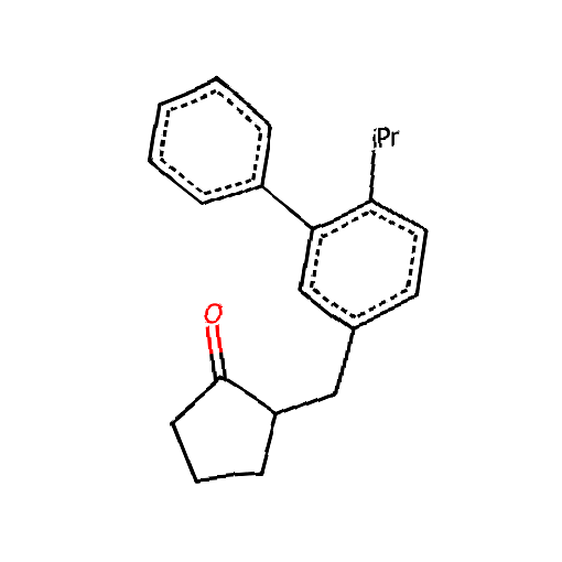 CC(C)c1ccc(CC2CCCC2=O)cc1-c1ccccc1